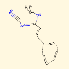 CNC(C=Cc1ccccc1)=NC#N